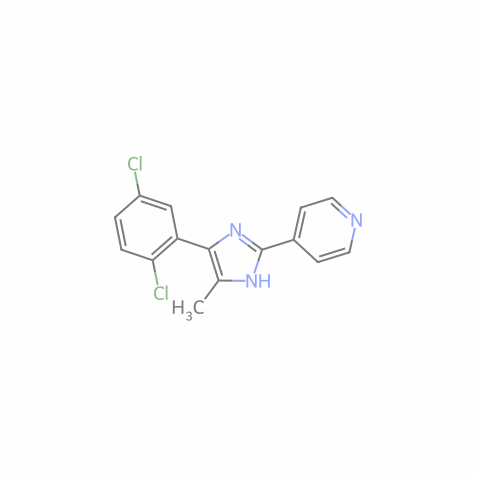 Cc1[nH]c(-c2ccncc2)nc1-c1cc(Cl)ccc1Cl